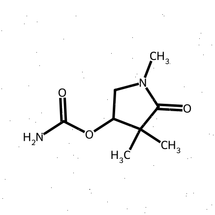 CN1CC(OC(N)=O)C(C)(C)C1=O